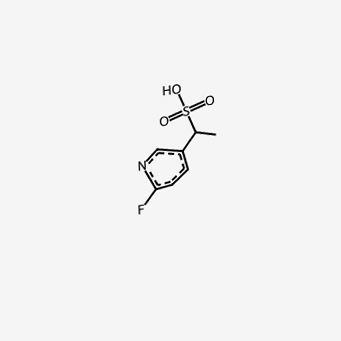 CC(c1ccc(F)nc1)S(=O)(=O)O